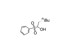 CC[C@@H](C)CC(O)S(=O)(=O)c1ccccc1